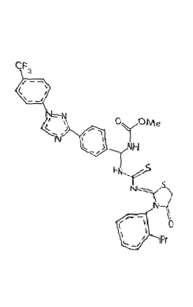 COC(=O)NC(NC(=S)/N=C1\SCC(=O)N1c1ccccc1C(C)C)c1ccc(-c2ncn(-c3ccc(C(F)(F)F)cc3)n2)cc1